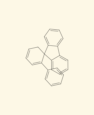 C1=CCC2(C(c3ccccc3)=C1)c1ccccc1-c1ccccc12